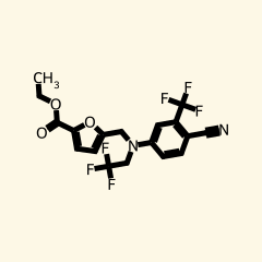 CCOC(=O)c1ccc(CN(CC(F)(F)F)c2ccc(C#N)c(C(F)(F)F)c2)o1